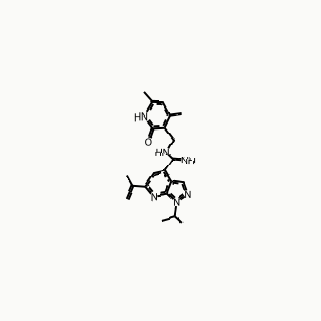 C=C(C)c1cc(C(=N)NCc2c(C)cc(C)[nH]c2=O)c2cnn(C(C)C)c2n1